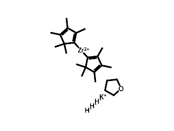 C1CCOC1.CC1=C(C)C(C)(C)[C]([Zr+2][C]2=C(C)C(C)=C(C)C2(C)C)=C1C.[H-].[H-].[H-].[K+]